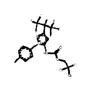 Cc1ccc(-n2nc(C(C)(C(F)(F)F)C(F)(F)F)cc2NC(=O)OCC(Cl)(Cl)Cl)cc1